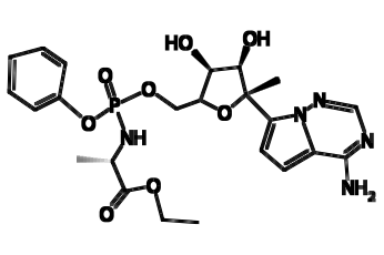 CCOC(=O)[C@H](C)NP(=O)(OCC1O[C@@](C)(c2ccc3c(N)ncnn23)[C@H](O)[C@@H]1O)Oc1ccccc1